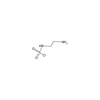 NCCNS(=O)(=O)Cl